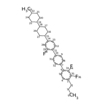 CCCc1ccc(-c2ccc(-c3ccc(C4CCC(C5CCC(C)CC5)CC4)cc3F)cc2)c(F)c1F